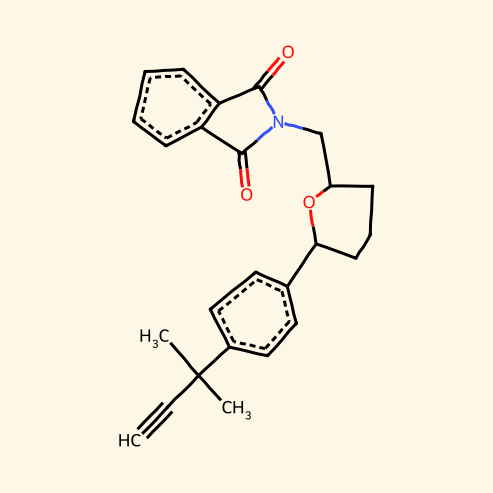 C#CC(C)(C)c1ccc(C2CCCC(CN3C(=O)c4ccccc4C3=O)O2)cc1